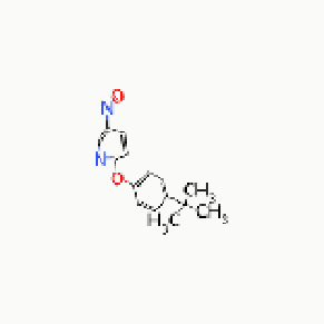 CC(C)(C)c1ccc(Oc2ccc(N=O)cn2)cc1